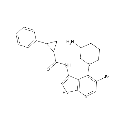 NC1CCCN(c2c(Br)cnc3[nH]cc(NC(=O)C4CC4c4ccccc4)c23)C1